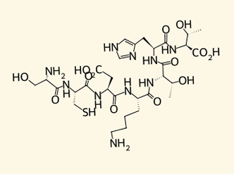 C[C@@H](O)[C@H](NC(=O)[C@H](Cc1c[nH]cn1)NC(=O)[C@@H](NC(=O)[C@H](CCCCN)NC(=O)[C@H](CC(=O)O)NC(=O)[C@H](CS)NC(=O)[C@@H](N)CO)[C@@H](C)O)C(=O)O